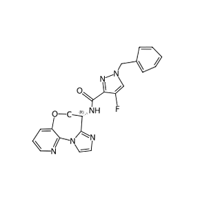 O=C(N[C@H]1COc2cccnc2-n2ccnc21)c1nn(Cc2ccccc2)cc1F